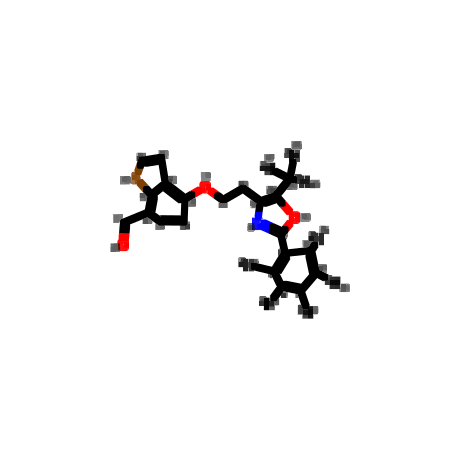 [2H]c1c([2H])c([2H])c(-c2nc(CCOc3ccc(C=O)c4sccc34)c(C([2H])([2H])[2H])o2)c([2H])c1[2H]